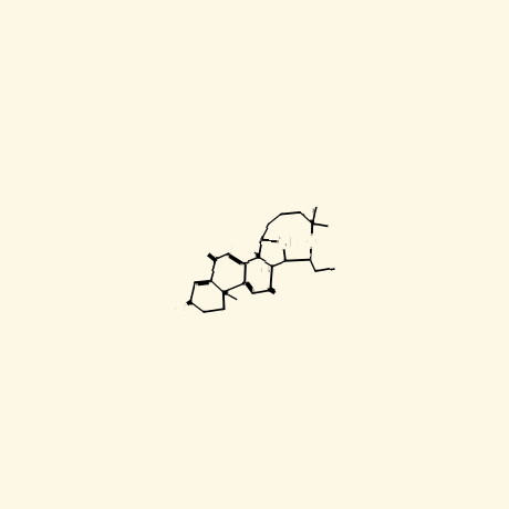 CCC1OC(C)(C)[C@@H](C)CCC2NC1[C@@]1(C)C(=O)C=C3C(=CC(=O)C4=CC(=O)CCC43C)C21O